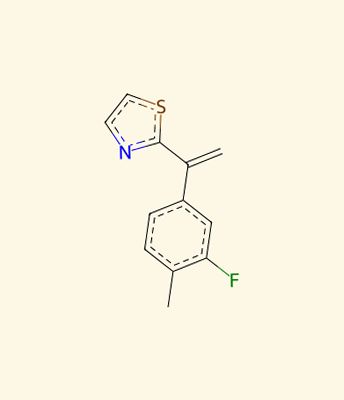 C=C(c1ccc(C)c(F)c1)c1nccs1